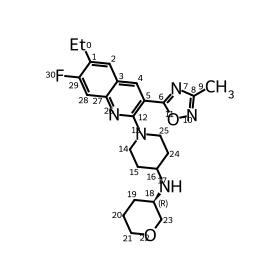 CCc1cc2cc(-c3nc(C)no3)c(N3CCC(N[C@@H]4CCCOC4)CC3)nc2cc1F